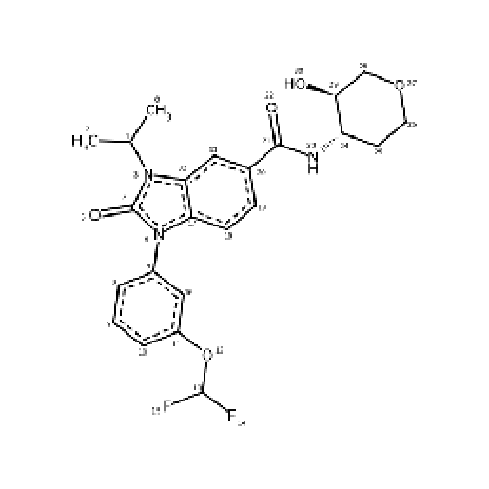 CC(C)n1c(=O)n(-c2cccc(OC(F)F)c2)c2ccc(C(=O)N[C@H]3CCOC[C@@H]3O)cc21